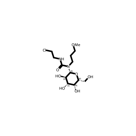 COCCCN(C(=O)NCCCl)[C@@H]1O[C@H](CO)[C@H](O)[C@H](O)[C@H]1O